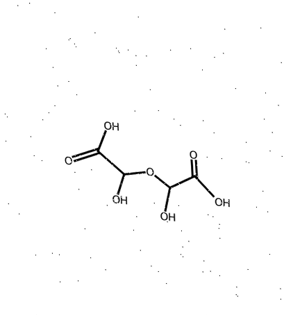 O=C(O)C(O)OC(O)C(=O)O